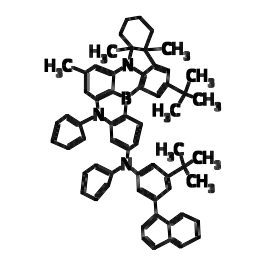 Cc1cc2c3c(c1)N1c4c(cc(C(C)(C)C)cc4C4(C)CCCCC14C)B3c1ccc(N(c3ccccc3)c3cc(-c4cccc5ccccc45)cc(C(C)(C)C)c3)cc1N2c1ccccc1